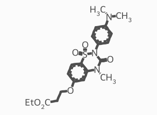 CCOC(=O)CCOc1ccc2c(c1)N(C)C(=O)N(c1ccc(N(C)C)cc1)S2(=O)=O